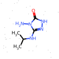 CC(C)Nc1n[nH]c(=O)n1N